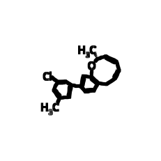 Cc1cc(Cl)cc(-c2ccc3c(c2)O[C@H](C)/C=C\C=C/C3)c1